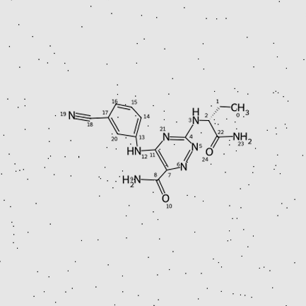 CC[C@@H](Nc1nnc(C(N)=O)c(Nc2cccc(C#N)c2)n1)C(N)=O